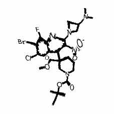 COC(=O)C1(c2c([N+](=O)[O-])c(N3CC(N(C)C)C3)nc3c(F)c(Br)c(Cl)cc23)CCCN(C(=O)OC(C)(C)C)C1